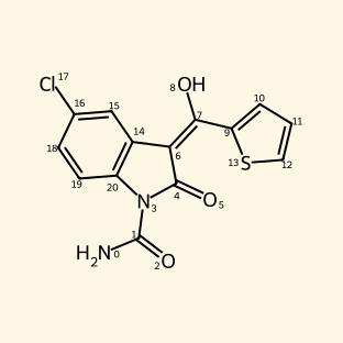 NC(=O)N1C(=O)C(=C(O)c2cccs2)c2cc(Cl)ccc21